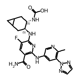 Cc1ncc(Nc2nc(N[C@H]3CC4CC4C[C@@H]3NC(=O)O)c(F)cc2C(N)=O)cc1-n1nccn1